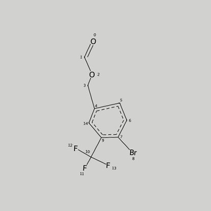 O=COCc1ccc(Br)c(C(F)(F)F)c1